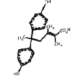 CC(CC(C)(c1ccc(O)cc1)c1ccc(O)cc1)=C(C)C(=O)O